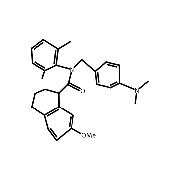 COc1ccc2c(c1)C(C(=O)N(Cc1ccc(N(C)C)cc1)c1c(C)cccc1C)CCC2